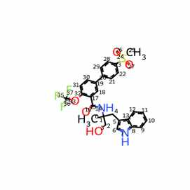 CC(CO)(Cc1c[nH]c2ccccc12)NC(=O)c1cc(-c2ccc(S(C)(=O)=O)cc2)ccc1OC(F)(F)F